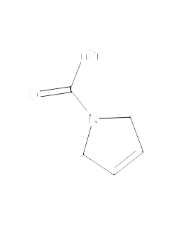 CCCC(=O)N1CC=CC1